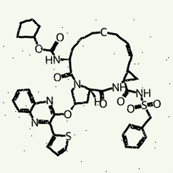 O=C(N[C@H]1CCCCC/C=C\C2C[C@]2(C(=O)NS(=O)(=O)Cc2ccccc2)NC(=O)[C@@H]2C[C@@H](Oc3nc4ccccc4nc3-c3cccs3)CN2C1=O)OC1CCCC1